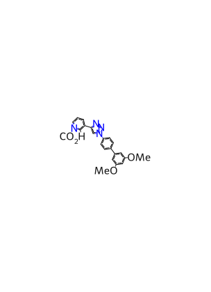 COc1cc(OC)cc(-c2ccc(-n3cc(-c4cccnc4C(=O)O)nn3)cc2)c1